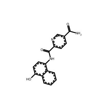 NC(=O)c1ccc(C(=O)Nc2ccc(O)c3ccccc23)nc1